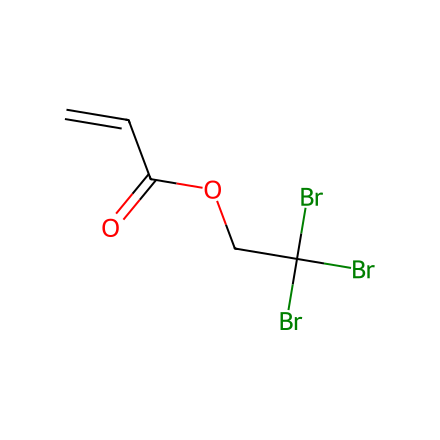 C=CC(=O)OCC(Br)(Br)Br